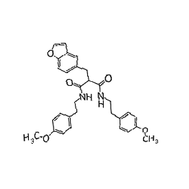 COc1ccc(CCNC(=O)C(Cc2ccc3occc3c2)C(=O)NCCc2ccc(OC)cc2)cc1